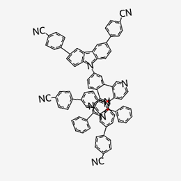 N#Cc1ccc(-c2ccc3c(c2)c2cc(-c4ccc(C#N)cc4)ccc2n3-c2ccc(-c3nc(-c4ccccc4)nc(-c4ccccc4)n3)c(-c3cnccc3-n3c4ccc(-c5ccc(C#N)cc5)cc4c4cc(-c5ccc(C#N)cc5)ccc43)c2)cc1